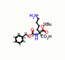 CC(C)(C)OC(=O)[C@@](CCCCN)(NC(=O)OCc1ccccc1)C(=O)O